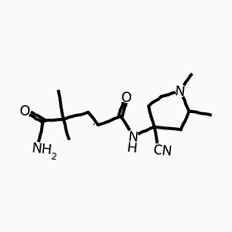 CC1CC(C#N)(NC(=O)[CH]CC(C)(C)C(N)=O)CCN1C